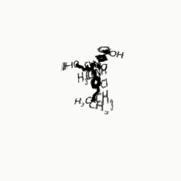 CC(C)(C)CCc1ccc(C2(C)NC(=O)N([C@H]3C[C@H](C(=O)O)C3)C=C2C(C)(C)CCCO)cc1Cl